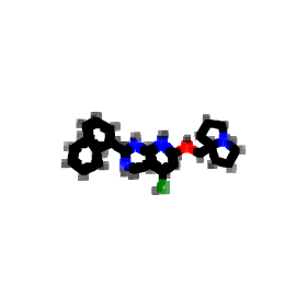 Clc1cc(OCC23CCCN2CCC3)nc2nc(-c3cccc4ccccc34)ncc12